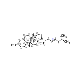 CC(C)C/C=C/CC[C@H]1CC[C@H]2[C@@H]3CC=C4C[C@@H](O)CC[C@]4(C)[C@H]3CC[C@]12C